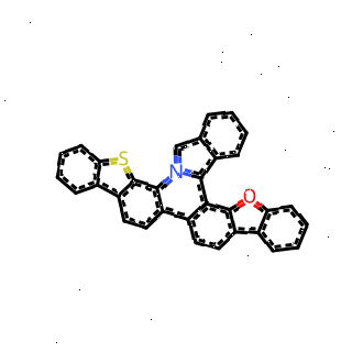 c1ccc2c(c1)cn1c3c(ccc4c5ccccc5sc43)c3ccc4c5ccccc5oc4c3c21